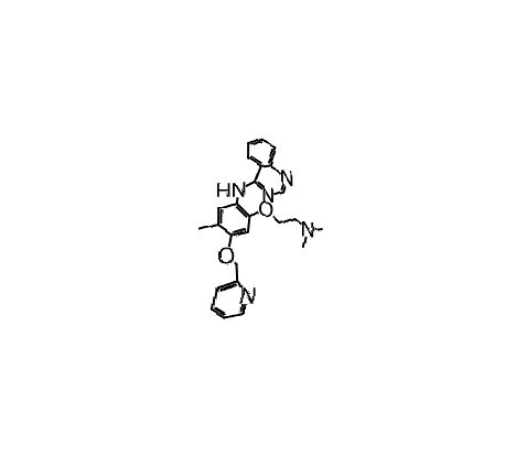 Cc1cc(Nc2ncnc3ccccc23)c(OCCN(C)C)cc1OCc1ccccn1